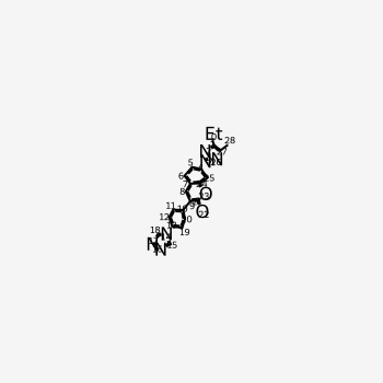 CCc1nn(-c2ccc3cc(-c4ccc(-n5cnnc5)cc4)c(=O)oc3c2)nc1C